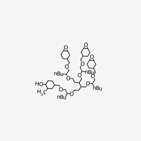 CCCCC(COCC1CCC(O)C(C)C1)OCCC(COC(CCCC)COCC1CCC2OC2C1)C(CCOC(CCCC)COCC1CCC2OC2C1)COC(CCCC)COCC1CCC2OC2C1